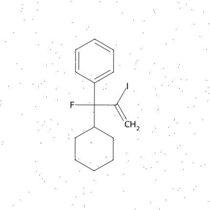 C=C(I)C(F)(c1ccccc1)C1CCCCC1